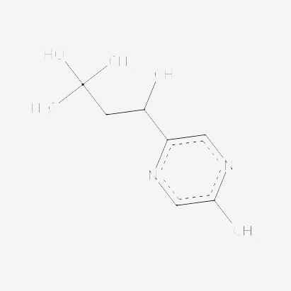 Cc1cnc(C(C)CC(C)(C)O)cn1